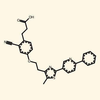 Cc1sc(-c2ccc(-c3ccccc3)nc2)nc1CCOc1ccc(CCC(=O)O)c(C#N)c1